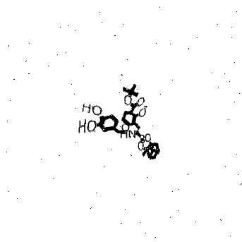 COc1c(C[C@H](NC(=O)Cc2ccc(O)c(O)c2)B2OC3CC4CC(C4(C)C)C3(C)O2)cccc1C(=O)OC(C)(C)C